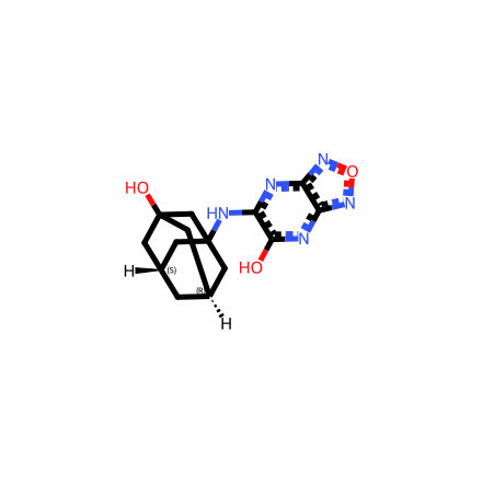 Oc1nc2nonc2nc1NC12C[C@@H]3C[C@@H](CC(O)(C3)C1)C2